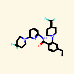 CCc1ccc(C(=O)Nc2cccc(N3CCC(F)(F)CC3)n2)c(N2CCC(=C(F)F)CC2)c1